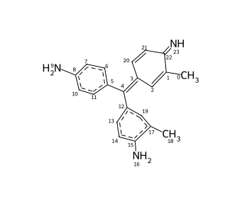 CC1=C/C(=C(/c2ccc(N)cc2)c2ccc(N)c(C)c2)C=CC1=N